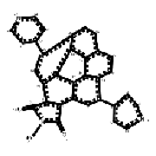 CC(C)n1c(=O)c2c3cc(-c4ccncc4)c4ccc5ccc6c(-c7ccncc7)cc(c2c1=O)c1c6c5c4c31